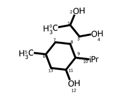 CC(O)CO.CC1CCC(C(C)C)C(O)C1